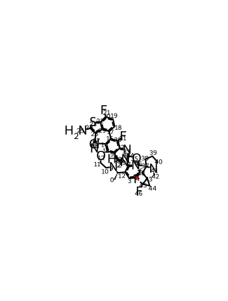 C[C@H](c1cccnc1N)N1CCOc2c(Cl)c(-c3ccc(F)c4sc(N)c(C#N)c34)c(F)c3nc(OC[C@@]45CCCN4C[C@@]4(CC4(F)F)C5)nc1c23